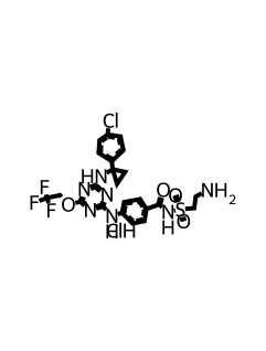 Cl.NCCS(=O)(=O)NC(=O)c1ccc(Nc2nc(NC3(c4ccc(Cl)cc4)CC3)nc(OCC(F)(F)F)n2)cc1